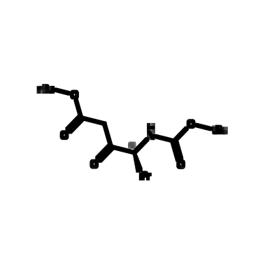 CCCCOC(=O)CC(=O)[C@@H](NC(=O)OC(C)(C)C)C(C)C